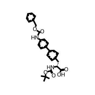 CC(C)(C)OC(=O)N[C@H](Cc1ccc(-c2ccc(NC(=O)OCc3ccccc3)cc2)cc1)C(=O)O